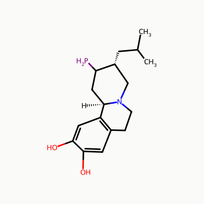 CC(C)C[C@@H]1CN2CCc3cc(O)c(O)cc3[C@H]2CC1P